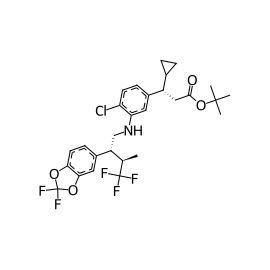 C[C@H]([C@@H](CNc1cc([C@@H](CC(=O)OC(C)(C)C)C2CC2)ccc1Cl)c1ccc2c(c1)OC(F)(F)O2)C(F)(F)F